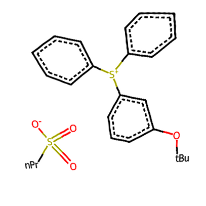 CC(C)(C)Oc1cccc([S+](c2ccccc2)c2ccccc2)c1.CCCS(=O)(=O)[O-]